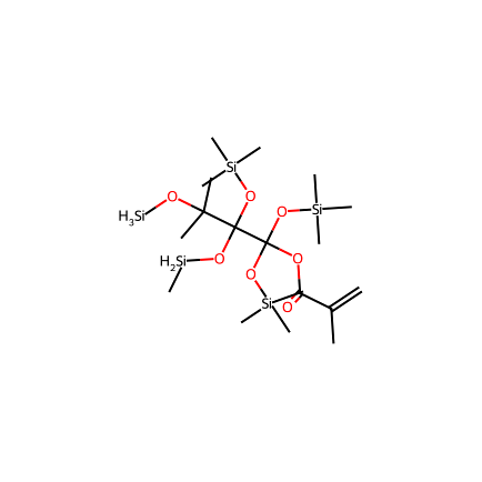 C=C(C)C(=O)OC(O[Si](C)(C)C)(O[Si](C)(C)C)C(O[SiH2]C)(O[Si](C)(C)C)C(C)(C)O[SiH3]